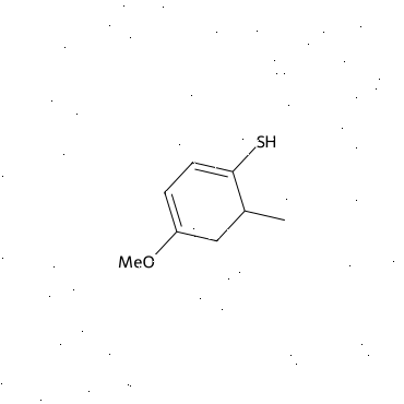 COC1=CC=C(S)C(C)C1